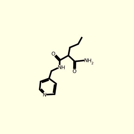 CCCC(C(N)=O)C(=O)NCc1ccncc1